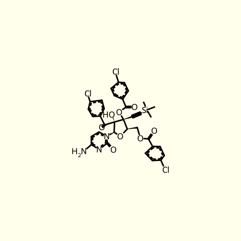 C[Si](C)(C)C#C[C@@]1(OC(=O)c2ccc(Cl)cc2)[C@@H](COC(=O)c2ccc(Cl)cc2)O[C@@H](n2ccc(N)nc2=O)[C@@]1(O)C(=O)c1ccc(Cl)cc1